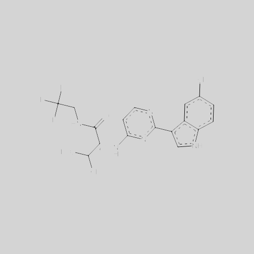 CC(C)[C@@H](Nc1ccnc(-c2c[nH]c3ccc(Cl)cc23)n1)C(=O)NCC(F)(F)F